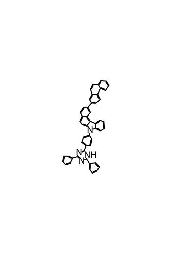 c1ccc(C2=NC(c3ccccc3)NC(c3ccc(-n4c5ccccc5c5c6cc(-c7ccc8c(ccc9ccccc98)c7)ccc6ccc54)cc3)=N2)cc1